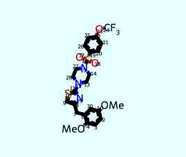 COc1ccc(OC)c(Cc2csc(N3CCN(S(=O)(=O)c4ccc(OC(F)(F)F)cc4)CC3)n2)c1